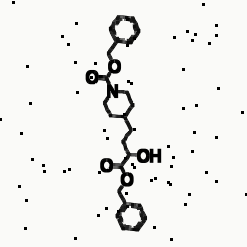 O=C(OCc1ccccc1)C(O)CCC1CCN(C(=O)OCc2ccccc2)CC1